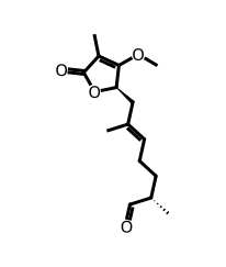 COC1=C(C)C(=O)O[C@@H]1C/C(C)=C/CC[C@H](C)C=O